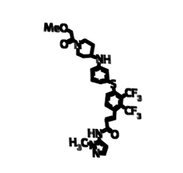 COCC(=O)N1CCC(Nc2cccc(Sc3ccc(C=CC(=O)Nc4ccnn4C)c(C(F)(F)F)c3C(F)(F)F)c2)CC1